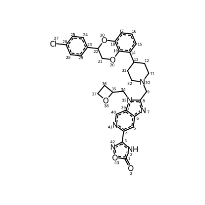 O=c1[nH]c(-c2cc3nc(CN4CCC(c5cccc6c5OCC(c5ccc(Cl)cc5)O6)CC4)n(CC4CCO4)c3cn2)no1